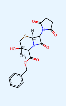 C[C@@]1(O)CS[C@H]2C(N3C(=O)CCC3=O)C(=O)N2C1C(=O)OCc1ccccc1